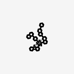 c1ccc(-c2ccc3ccc(-c4ccc5cccc(-c6nc(-c7ccc(-c8cccc9ccccc89)cc7)nc(-c7cccc8c7sc7ccccc78)n6)c5c4)cc3c2)cc1